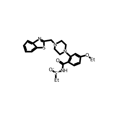 CCOc1ccc(C(=O)N[S+]([O-])CC)c(N2CCN(Cc3nc4ccccc4s3)CC2)c1